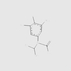 CCCC(CC)N(C(=O)CC)c1cc(C(C)(C)C)c(O)c(C(C)(C)C)c1